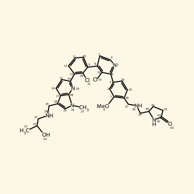 COc1cc(-c2nccc(-c3cccc(-c4ccc5c(CNCC(C)O)cn(C)c5n4)c3Cl)c2Cl)ccc1CNCC1CCC(=O)N1